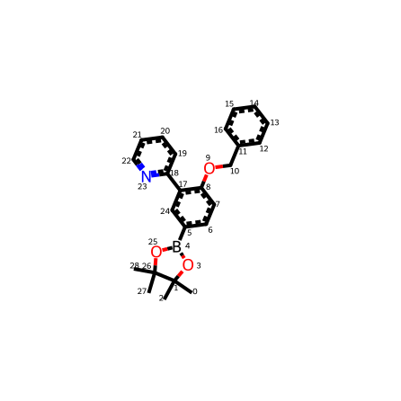 CC1(C)OB(c2ccc(OCc3ccccc3)c(-c3ccccn3)c2)OC1(C)C